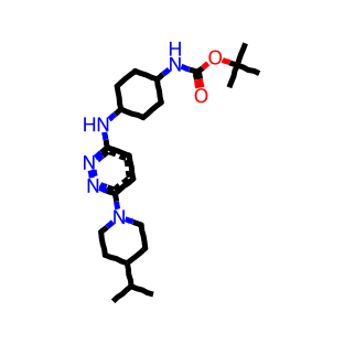 CC(C)C1CCN(c2ccc(NC3CCC(NC(=O)OC(C)(C)C)CC3)nn2)CC1